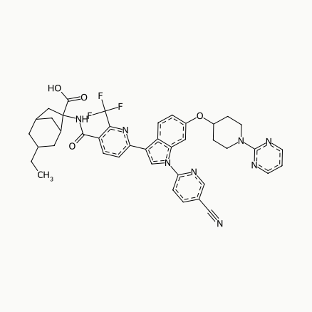 CCC1CC2CC(C1)C(NC(=O)c1ccc(-c3cn(-c4ccc(C#N)cn4)c4cc(OC5CCN(c6ncccn6)CC5)ccc34)nc1C(F)(F)F)(C(=O)O)C2